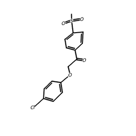 CS(=O)(=O)c1ccc(C(=O)COc2ccc(Cl)cc2)cc1